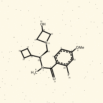 COc1ccc(C(=O)N(C)[C@H](CN2CC(O)C2)C2CCC2)c(F)c1